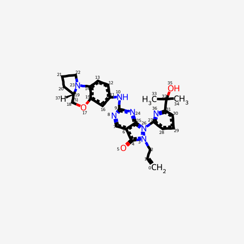 C=CCn1c(=O)c2cnc(Nc3ccc4c(c3)OC[C@@H]3CCCN43)nc2n1-c1cccc(C(C)(C)O)n1